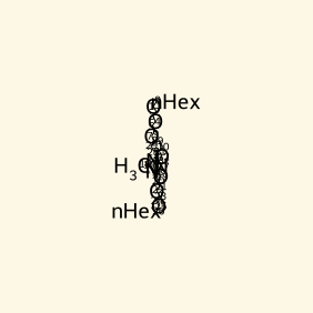 CCCCCCOCCOCCOc1ccc(Oc2nc(C)nc(OCCOCCOCCCCCC)n2)cc1